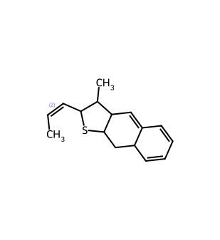 C/C=C\C1SC2CC3C=CC=CC3=CC2C1C